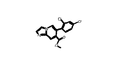 COC(=O)c1cc2nccn2cc1-c1ccc(Cl)cc1Cl